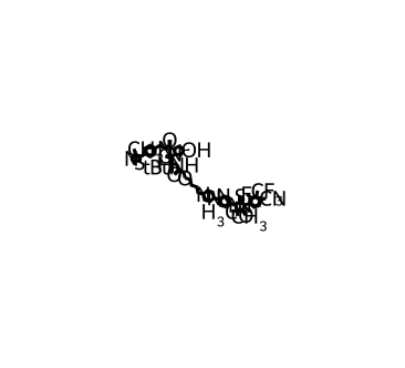 Cc1ncsc1-c1ccc(CNC(=O)[C@@H]2C[C@@H](O)CN2C(=O)[C@@H](NC(=O)COCCCCN2CCN(c3ccc(N4C(=S)N(c5ccc(C#N)c(C(F)(F)F)c5F)C(=O)C4(C)C)cn3)CC2)C(C)(C)C)cc1